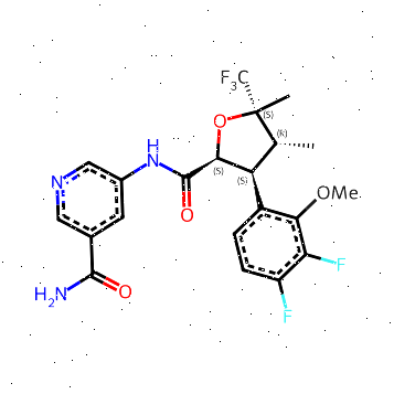 COc1c([C@H]2[C@@H](C(=O)Nc3cncc(C(N)=O)c3)O[C@](C)(C(F)(F)F)[C@@H]2C)ccc(F)c1F